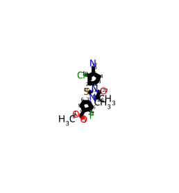 COC(=O)c1ccc(N2C(=S)N(c3ccc(C#N)c(Cl)c3)C(=O)C2(C)C)cc1F